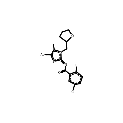 CC(=O)c1sc(=NC(=O)c2cc(Cl)ccc2F)n(C[C@H]2CCCO2)c1C